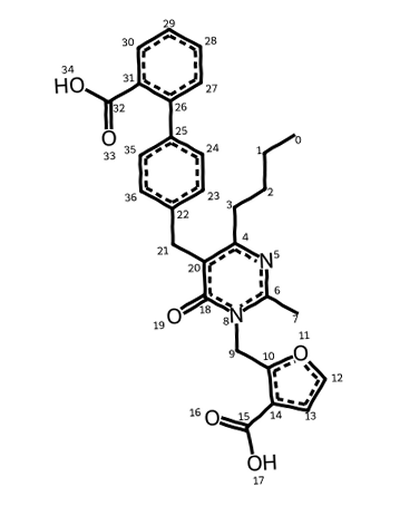 CCCCc1nc(C)n(Cc2occc2C(=O)O)c(=O)c1Cc1ccc(-c2ccccc2C(=O)O)cc1